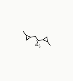 CC1CC1C[C@H](N)C1CC1C